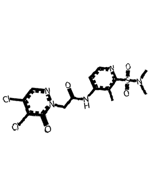 Cc1c(NC(=O)Cn2ncc(Cl)c(Cl)c2=O)ccnc1S(=O)(=O)N(C)C